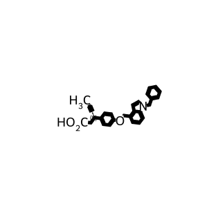 CC#C[C@@H](CC(=O)O)c1ccc(OCc2cccc3c2ccn3Cc2ccccc2)cc1